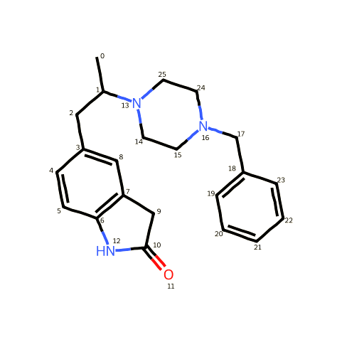 CC(Cc1ccc2c(c1)CC(=O)N2)N1CCN(Cc2ccccc2)CC1